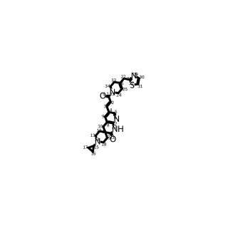 O=C(/C=C/c1cnc2c(c1)CC1(CCN(C3CC3)CC1)C(=O)N2)N1CC=C(Cc2nccs2)CC1